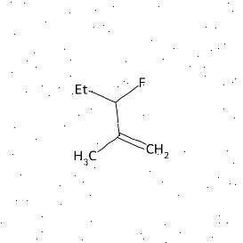 [CH2]CC(F)C(=C)C